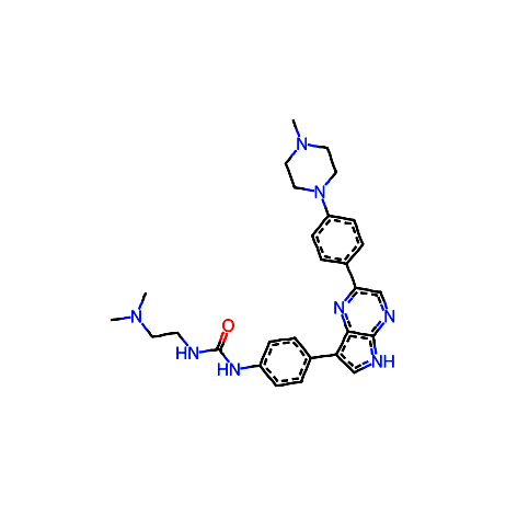 CN(C)CCNC(=O)Nc1ccc(-c2c[nH]c3ncc(-c4ccc(N5CCN(C)CC5)cc4)nc23)cc1